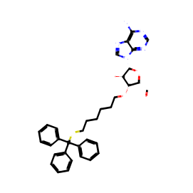 Nc1ncnc2c1ncn2[C@@H]1O[C@H](CO)[C@@H](OCCCCCCSC(c2ccccc2)(c2ccccc2)c2ccccc2)[C@H]1O